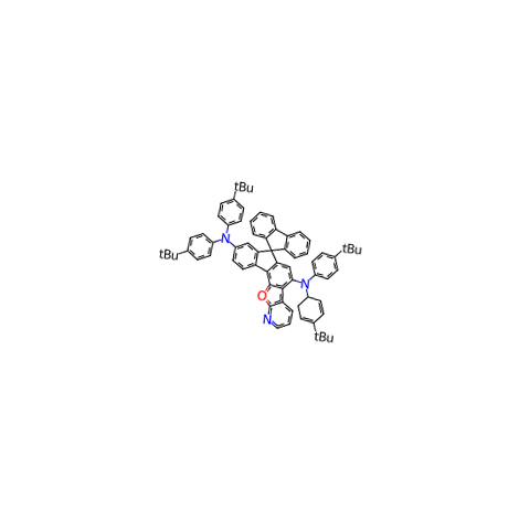 CC(C)(C)C1=CCC(N(c2ccc(C(C)(C)C)cc2)c2cc3c(c4oc5ncccc5c24)-c2ccc(N(c4ccc(C(C)(C)C)cc4)c4ccc(C(C)(C)C)cc4)cc2C32c3ccccc3-c3ccccc32)C=C1